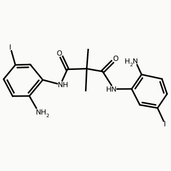 CC(C)(C(=O)Nc1cc(I)ccc1N)C(=O)Nc1cc(I)ccc1N